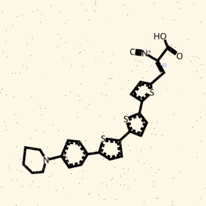 [C-]#[N+]/C(=C\c1ccc(-c2ccc(-c3ccc(-c4ccc(N5CCCCC5)cc4)s3)s2)s1)C(=O)O